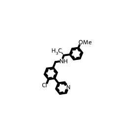 COc1cccc([C@@H](C)NCc2ccc(Cl)c(-c3cccnc3)c2)c1